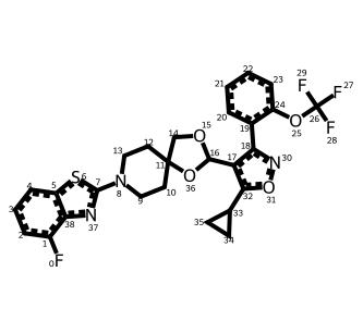 Fc1cccc2sc(N3CCC4(CC3)COC(c3c(-c5ccccc5OC(F)(F)F)noc3C3CC3)O4)nc12